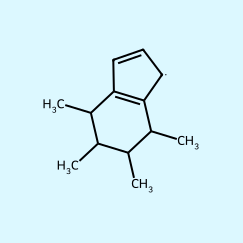 CC1C2=C(C=C[CH]2)C(C)C(C)C1C